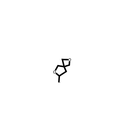 [CH2]C1CC2(COC2)CO1